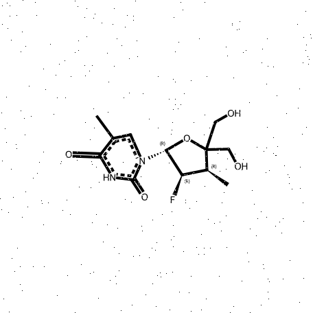 Cc1cn([C@@H]2OC(CO)(CO)[C@@H](C)[C@H]2F)c(=O)[nH]c1=O